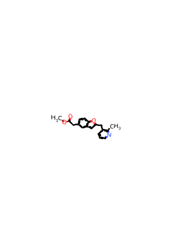 COC(=O)Cc1ccc2oc(Cc3cccnc3C)cc2c1